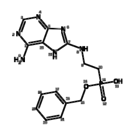 Nc1ncnc2nc(NCCP(=O)(O)OCc3ccccc3)[nH]c12